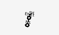 CCC(S)(CC)c1ccc(-c2nc3ccccc3s2)cc1